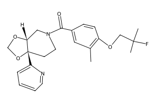 Cc1cc(C(=O)N2CC[C@]3(c4ccccn4)OCO[C@@H]3C2)ccc1OCC(C)(C)F